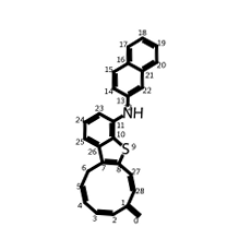 C=C1/C=C\C=C/Cc2c(sc3c(Nc4ccc5ccccc5c4)cccc23)/C=C\1